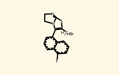 Br.CC1=C(c2cccc3c(F)cccc23)N2CCN=C2S1